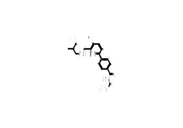 CC(C)CNC(=O)c1ccc(-c2ccc(F)c(CN[C@H](C)C(C)CO)n2)cc1